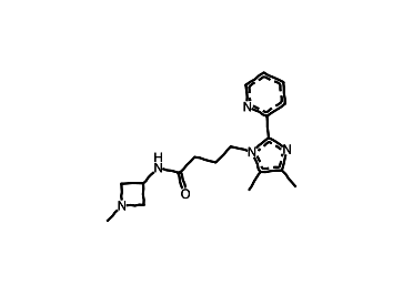 Cc1nc(-c2ccccn2)n(CCCC(=O)NC2CN(C)C2)c1C